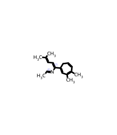 C/C=N/C(=C\C=C(C)C)C1=CC(C)=C(C)C=CC1